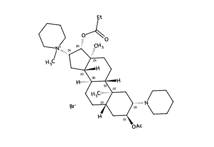 CCC(=O)O[C@H]1[C@@H]([N+]2(C)CCCCC2)C[C@H]2[C@@H]3CC[C@H]4C[C@H](OC(C)=O)[C@@H](N5CCCCC5)C[C@]4(C)[C@H]3CC[C@@]21C.[Br-]